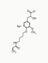 C=CC(=O)NCCCCOc1ccc(CC(O)C(=O)[O-])cc1OC.[Na+]